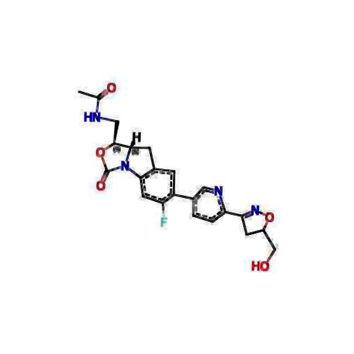 CC(=O)NC[C@@H]1OC(=O)N2c3cc(F)c(-c4ccc(C5=NOC(CO)C5)nc4)cc3C[C@@H]12